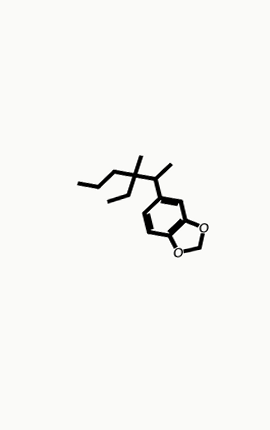 CCCC(C)(CC)C(C)c1ccc2c(c1)OCO2